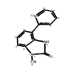 N#Cn1c(=O)[nH]c2c(-c3ccccn3)cccc21